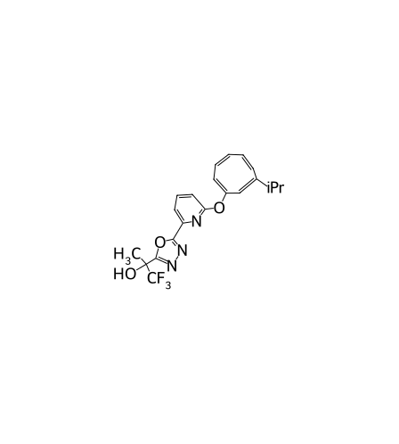 CC(C)C1=C/C(Oc2cccc(-c3nnc(C(C)(O)C(F)(F)F)o3)n2)=C\C=C/C=C\1